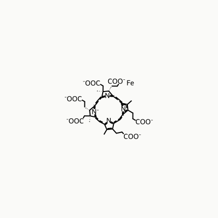 CC1=C(CCC(=O)[O-])c2cc3[n-]c(cc4nc(cc5[n-]c(cc1n2)[C@@](C)(CC(=O)[O-])[C@@H]5CCC(=O)[O-])[C@@](C)(CC(=O)[O-])[C@@H]4CCC(=O)[O-])c(C)c3CCC(=O)[O-].[Fe]